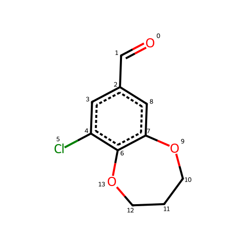 O=Cc1cc(Cl)c2c(c1)OCCCO2